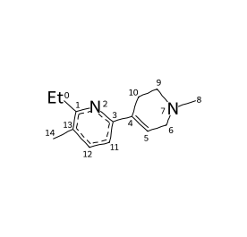 CCc1nc(C2=CCN(C)CC2)ccc1C